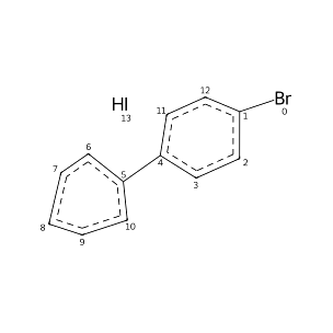 Brc1ccc(-c2ccccc2)cc1.I